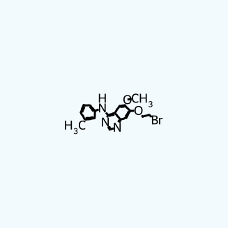 COc1cc2c(Nc3cccc(C)c3)ncnc2cc1OCCBr